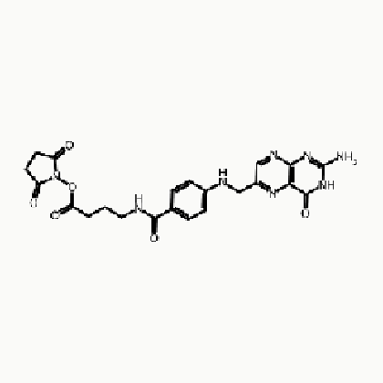 Nc1nc2ncc(CNc3ccc(C(=O)NCCCC(=O)ON4C(=O)CCC4=O)cc3)nc2c(=O)[nH]1